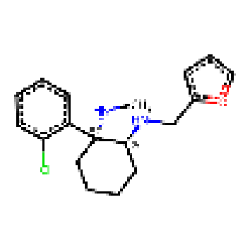 CN[C@@]1(c2ccccc2Cl)CCCC[C@@H]1NCc1ccco1